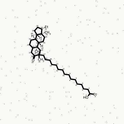 CCC(O)CCCCCCCCCCCCCCCC1(C)C[C@@]2(C)C(CC[C@H]3[C@@H]4CC[C@H](CC)[C@@]4(C)CC[C@@H]32)CC1=O